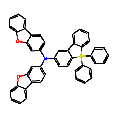 c1ccc(S2(c3ccccc3)c3ccccc3-c3cc(N(c4ccc5c(c4)oc4ccccc45)c4ccc5c(c4)oc4ccccc45)ccc32)cc1